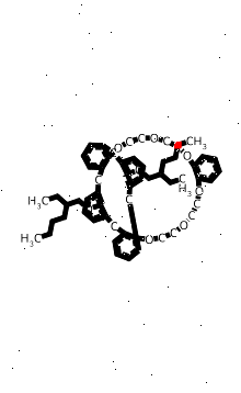 CCCCC(CC)COc1c2cccc1Cc1cccc3c1OCCOCCOc1ccccc1OCCOCCOc1c(cccc1Cc1cccc(c1OCC(CC)CCCC)C3)C2